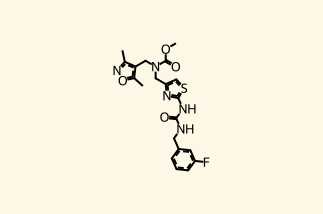 COC(=O)N(Cc1csc(NC(=O)NCc2cccc(F)c2)n1)Cc1c(C)noc1C